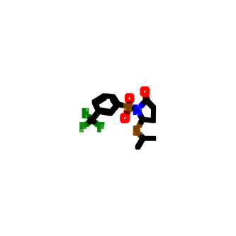 CC(C)SC1CCC(=O)N1S(=O)(=O)c1cccc(C(F)(F)F)c1